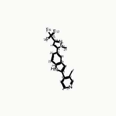 Cc1cnccc1-c1cc2cc(-c3cc(C(F)(F)F)nn3C)ccc2[nH]1